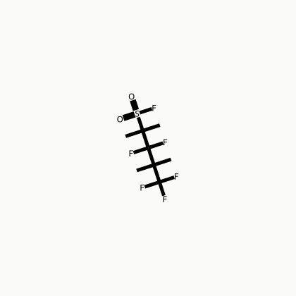 CC(C)(C(F)(F)F)C(F)(F)C(C)(C)S(=O)(=O)F